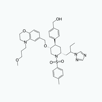 CCC(C[C@H]1C[C@H](c2ccc(CO)cc2)[C@@H](OCc2ccc3c(c2)N(CCCOC)CCO3)CN1S(=O)(=O)c1ccc(C)cc1)n1cncn1